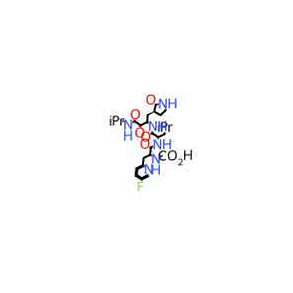 CC(C)CC(NC(=O)C(Cc1ccc(F)cn1)NC(=O)O)C(=O)NC(C[C@@H]1CCNC1=O)C(=O)C(=O)NC(C)C